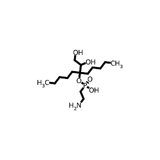 CCCCCC(CCCCC)(OP(=O)(O)CCN)C(O)CO